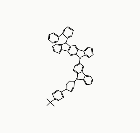 CC(C)(C)c1ccc(-c2ccc(-n3c4ccccc4c4cc(-n5c6ccccc6c6cc7c(cc65)c5ccccc5n7-c5ccccc5-c5ccccc5)ccc43)cc2)cc1